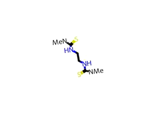 CNC(=S)NCCNC(=S)NC